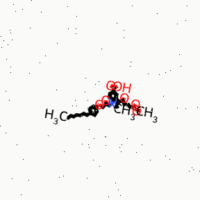 CCCCCCCCc1ccc(OCC(=O)Cn2c(C)c(C(=O)CCCC(=O)OC)c3cc(C(=O)O)ccc32)cc1